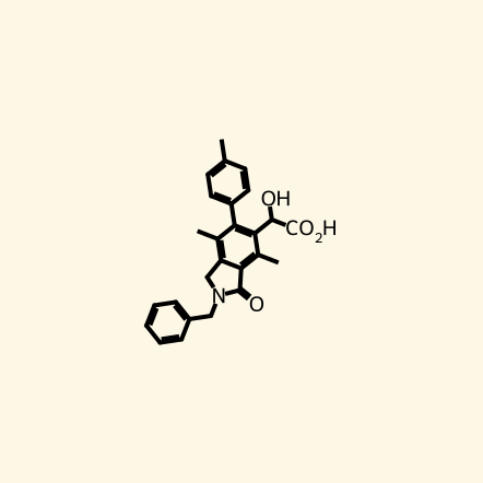 Cc1ccc(-c2c(C)c3c(c(C)c2C(O)C(=O)O)C(=O)N(Cc2ccccc2)C3)cc1